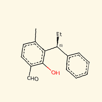 CC[C@@H](c1ccccc1)c1c(C)ccc(C=O)c1O